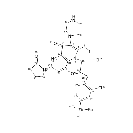 CCc1c(N2CCNCC2)c(=O)c2nc(N3CCCC3=O)cnc2n1CC(=O)Nc1ccc(C(F)(F)F)cc1Cl.Cl